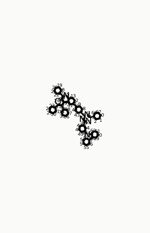 c1ccc(-c2nc(-c3ccc(-c4ccc5nc(-c6ccccc6)c6oc(-c7ccccc7)c(-c7ccccc7)c6c5c4)cc3)nc(-c3cccc(-n4c5ccccc5c5ccccc54)c3)n2)cc1